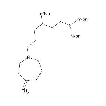 C=C1CCCN(CCCC(CCCCCCCCC)CCN(CCCCCCCCC)CCCCCCCCC)CC1